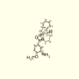 COc1ccc(C(=O)N2CCC[C@H]3c4ccccc4C[C@H]32)cc1N